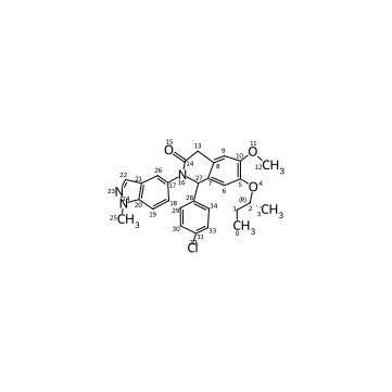 CC[C@@H](C)Oc1cc2c(cc1OC)CC(=O)N(c1ccc3c(cnn3C)c1)C2c1ccc(Cl)cc1